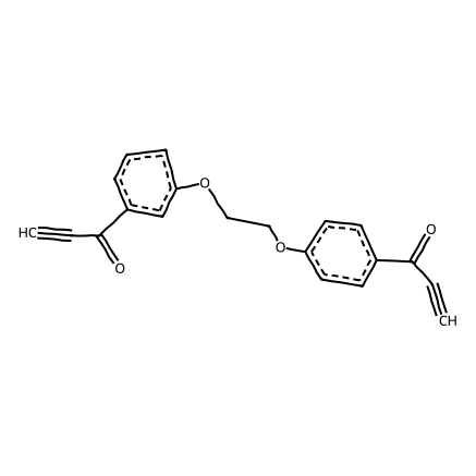 C#CC(=O)c1ccc(OCCOc2cccc(C(=O)C#C)c2)cc1